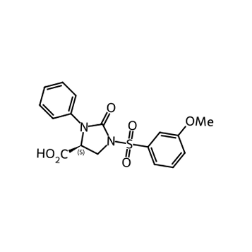 COc1cccc(S(=O)(=O)N2C[C@@H](C(=O)O)N(c3ccccc3)C2=O)c1